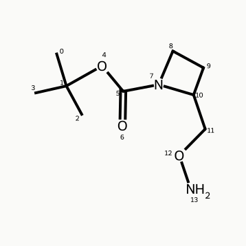 CC(C)(C)OC(=O)N1CCC1CON